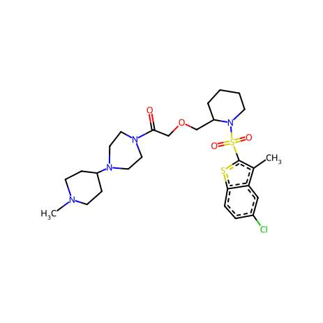 Cc1c(S(=O)(=O)N2CCCCC2COCC(=O)N2CCN(C3CCN(C)CC3)CC2)sc2ccc(Cl)cc12